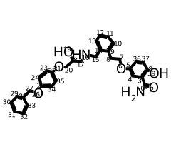 NC(=O)c1cc(OCCc2ccccc2CNCC(O)COc2ccc(OCc3ccccc3)cc2)ccc1O